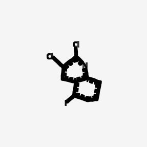 Clc1cc2c(I)cccc2nc1Cl